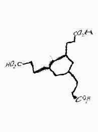 O=C(O)CCC1CC(CCC(=O)O)CC(CCC(=O)O)C1